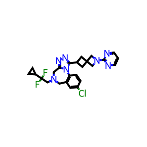 FC(F)(CN1Cc2cc(Cl)ccc2-n2c(nnc2C2CC3(C2)CN(c2ncccn2)C3)C1)C1CC1